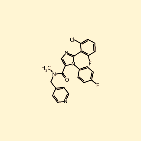 CN(Cc1ccncc1)C(=O)c1cnc(-c2c(F)cccc2Cl)n1-c1ccc(F)cc1